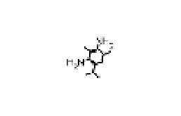 Cc1cc(C(C)C)c(N)c(C)c1N